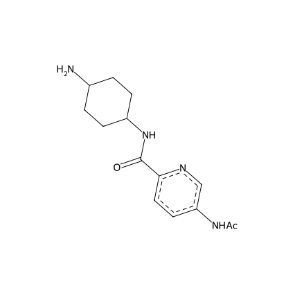 CC(=O)Nc1ccc(C(=O)NC2CCC(N)CC2)nc1